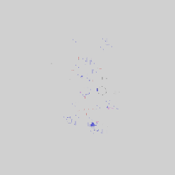 CC[C@H](C)[C@H](N)C(=O)N[C@@H](CCC(=O)O)C(=O)N[C@@H](CCCCN)C(=O)N[C@@H](CCCNC(=N)N)C(=O)N[C@H](C(=O)N1CCC[C@H]1C(=O)N[C@@H](Cc1ccccc1)C(=O)N[C@@H](CO)C(=O)N[C@@H](Cc1c[nH]cn1)C(=O)N[C@@H](CC(=O)O)C(=O)N[C@@H](CC(=O)O)C(=O)N[C@@H](CCCNC(=N)N)C(=O)N[C@@H](CC(C)C)C(=O)NCC(=O)O)[C@@H](C)CC